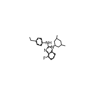 CCc1ccc(Nc2nc3c(F)cccc3n2C2CC(C)CC(C)C2)cc1